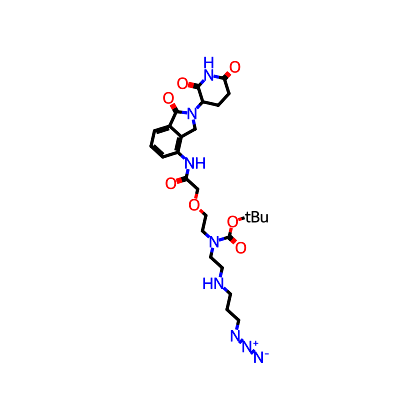 CC(C)(C)OC(=O)N(CCNCCCN=[N+]=[N-])CCOCC(=O)Nc1cccc2c1CN(C1CCC(=O)NC1=O)C2=O